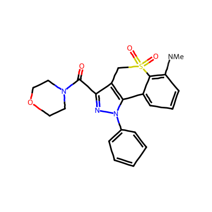 CNc1cccc2c1S(=O)(=O)Cc1c(C(=O)N3CCOCC3)nn(-c3ccccc3)c1-2